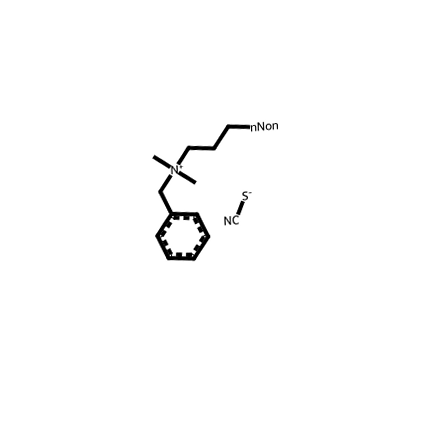 CCCCCCCCCCCC[N+](C)(C)Cc1ccccc1.N#C[S-]